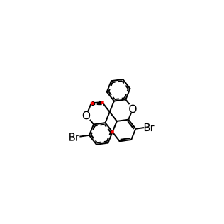 BrC1=C2Oc3ccccc3C3(c4ccccc4Oc4c(Br)cccc43)C2CC=C1